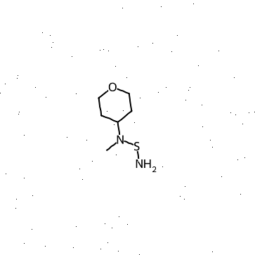 CN(SN)C1CCOCC1